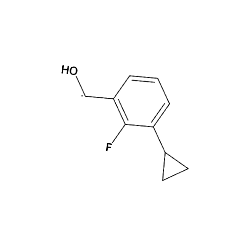 O[CH]c1cccc(C2CC2)c1F